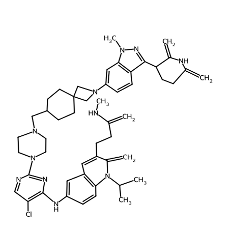 C=C(CCC1=Cc2cc(Nc3nc(N4CCN(CC5CCC6(CC5)CN(c5ccc7c(C8CCC(=C)NC8=C)nn(C)c7c5)C6)CC4)ncc3Cl)ccc2N(C(C)C)C1=C)NC